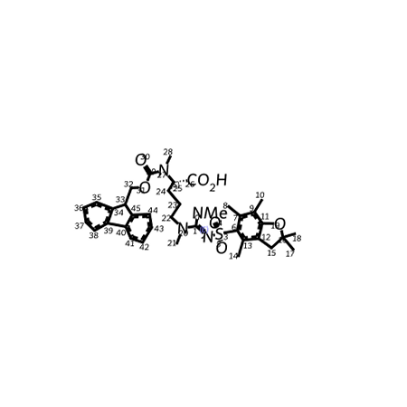 CN/C(=N\S(=O)(=O)c1c(C)c(C)c2c(c1C)CC(C)(C)O2)N(C)CCC[C@@H](C(=O)O)N(C)C(=O)OCC1c2ccccc2-c2ccccc21